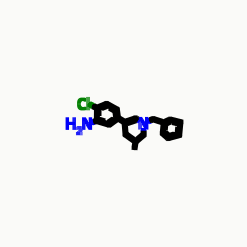 CC1CC(c2ccc(Cl)c(N)c2)=CN(Cc2ccccc2)C1